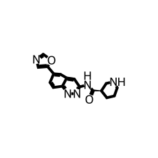 O=C(Nc1cc2cc(-c3cnco3)ccc2nn1)[C@@H]1CCCNC1